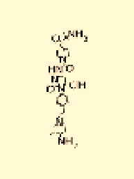 CC1CN(CCc2ccc(-n3ccc(NC(=O)N4CCN(C(=O)C(C)(C)N)CC4)nc3=O)cc2)CCC1N.Cl